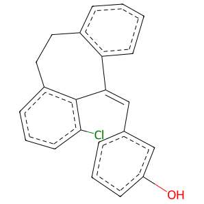 Oc1cccc(/C=C2/c3ccccc3CCc3cccc(Cl)c32)c1